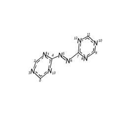 c1ncnc(N=Nc2ncncn2)n1